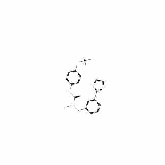 CC(C)N(Cc1cccc(-c2nccs2)c1)C(=O)Nc1ccc(OC(F)(F)Cl)cc1